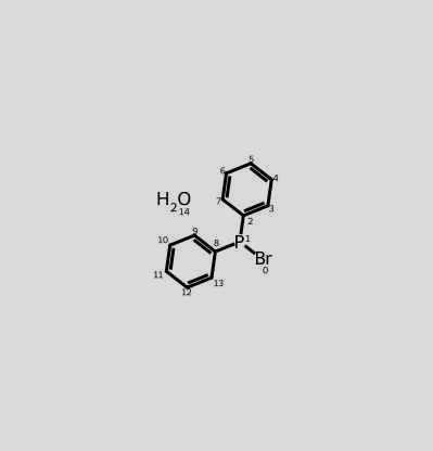 BrP(c1ccccc1)c1ccccc1.O